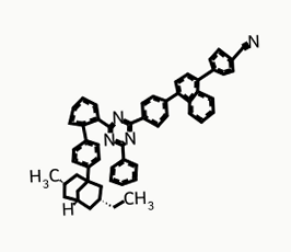 CC[C@@H]1C[C@@H]2C[C@H](C)CC(c3ccc(-c4ccccc4-c4nc(-c5ccccc5)nc(-c5ccc(-c6ccc(-c7ccc(C#N)cc7)c7ccccc67)cc5)n4)cc3)(C1)C2